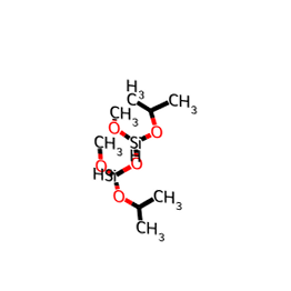 CO[SiH](OC(C)C)O[SiH](OC)OC(C)C